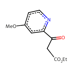 CCOC(=O)CC(=O)c1cc(OC)ccn1